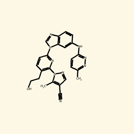 Cc1ccc(Nc2ccc3ncn(-c4ccc(CCO)c(-n5ncc(C#N)c5C)n4)c3c2)nn1